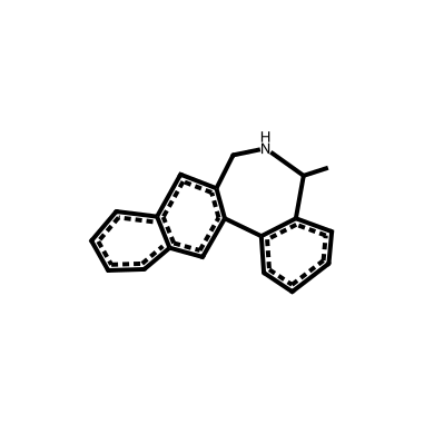 CC1NCc2cc3ccccc3cc2-c2ccccc21